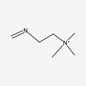 C=NCC[N+](C)(C)C